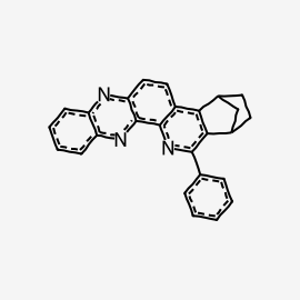 c1ccc(-c2nc3c(ccc4nc5ccccc5nc43)c3c2C2CCC3C2)cc1